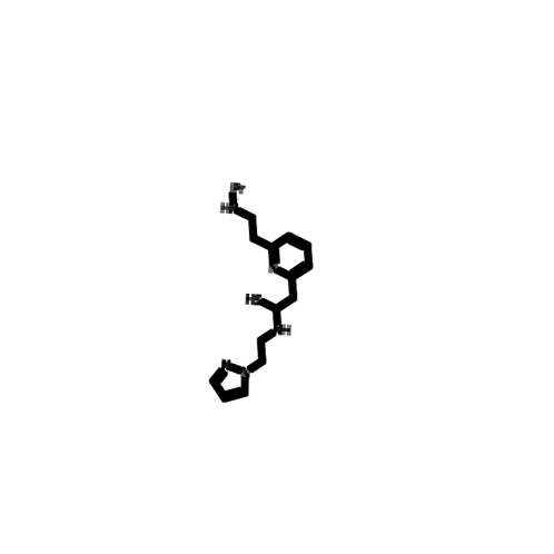 CC(C)NCCc1cccc(CC(S)NCCn2cccn2)n1